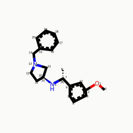 COc1cccc([C@@H](C)N[C@H]2CCN(Cc3ccccc3)C2)c1